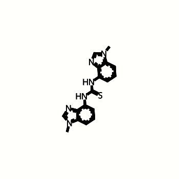 Cn1cnc2c(NC(=S)Nc3cccc4c3ncn4C)cccc21